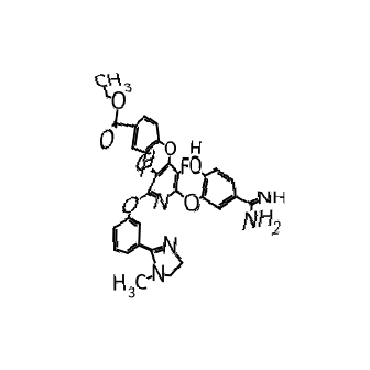 CCOC(=O)c1ccc(Oc2c(F)c(Oc3cccc(C4=NCCN4C)c3)nc(Oc3cc(C(=N)N)ccc3O)c2F)c(Cl)c1